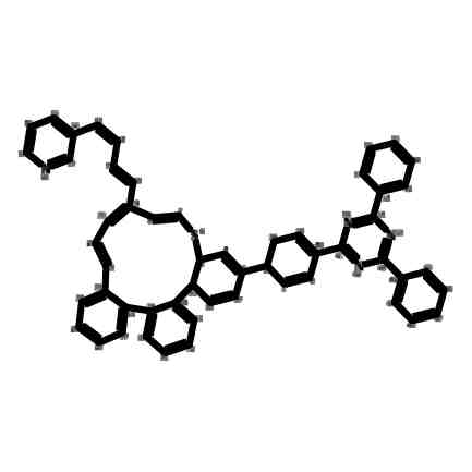 C1=CC(C2=CC3S/C=C/C(/C=C/C=C\c4cccnc4)=C\C=C\c4ccccc4-c4ccccc4C3C=C2)CC=C1c1nc(-c2ccccc2)nc(-c2ccccc2)n1